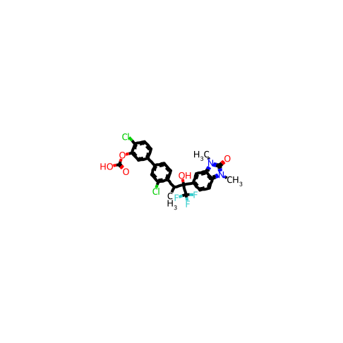 CC(c1ccc(-c2ccc(Cl)c(OC(=O)O)c2)cc1Cl)C(O)(c1ccc2c(c1)n(C)c(=O)n2C)C(F)(F)F